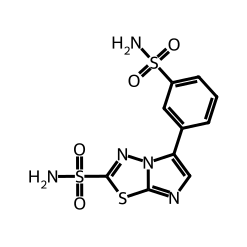 NS(=O)(=O)c1cccc(-c2cnc3sc(S(N)(=O)=O)nn23)c1